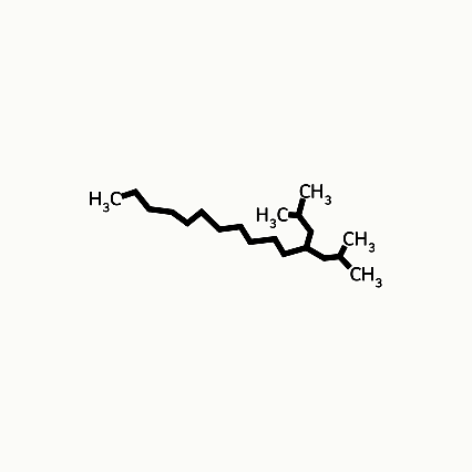 CCCCCCCCCCCC(CC(C)C)CC(C)C